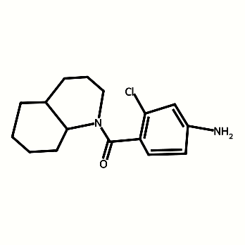 Nc1ccc(C(=O)N2CCCC3CCCCC32)c(Cl)c1